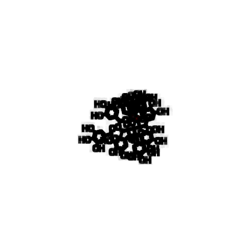 O=C(OC[C@@H](OC(=O)c1cc(O)c(O)c(O)c1)[C@](OC(=O)c1cc(O)c(O)c(O)c1)(C(=O)c1cc(O)c(O)c(O)c1)[C@@](OC(=O)c1cc(O)c(O)c(O)c1)(C(=O)c1cc(O)c(O)c(O)c1)[C@@](OC(=O)c1cc(O)c(O)c(O)c1)(C(=O)C(=O)c1cc(O)c(O)c(O)c1)C(=O)c1cc(O)c(O)c(O)c1)c1cc(O)c(O)c(O)c1